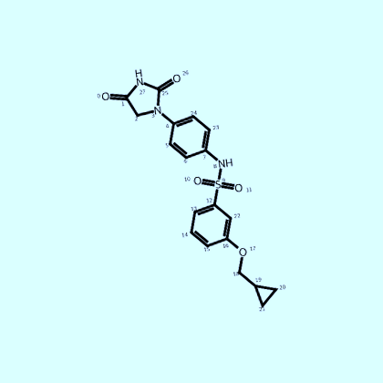 O=C1CN(c2ccc(NS(=O)(=O)c3cccc(OCC4CC4)c3)cc2)C(=O)N1